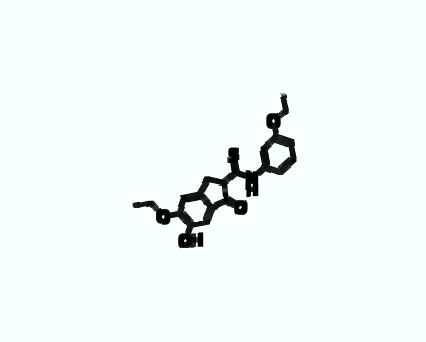 CCOc1cccc(NC(=S)C2Cc3cc(OCC)c(O)cc3C2=O)c1